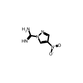 N=C(N)n1cc([N+](=O)[O-])cn1